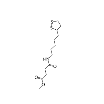 COC(=O)CCC(=O)NCCCCCC1CCSS1